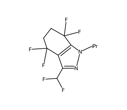 CC(C)n1nc(C(F)F)c2c1C(F)(F)CCC2(F)F